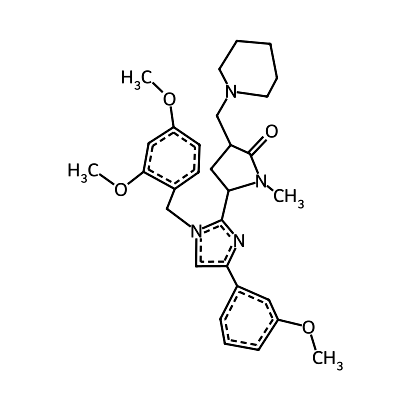 COc1cccc(-c2cn(Cc3ccc(OC)cc3OC)c(C3CC(CN4CCCCC4)C(=O)N3C)n2)c1